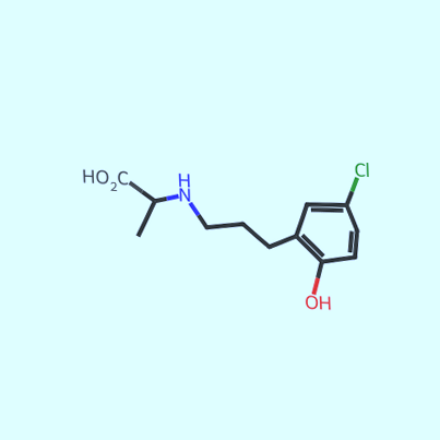 CC(NCCCc1cc(Cl)ccc1O)C(=O)O